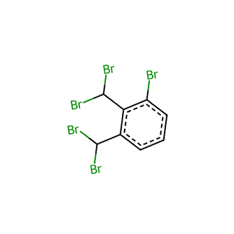 Brc1cccc(C(Br)Br)c1C(Br)Br